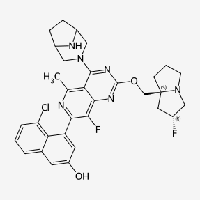 Cc1nc(-c2cc(O)cc3cccc(Cl)c23)c(F)c2nc(OC[C@@]34CCCN3C[C@H](F)C4)nc(N3CC4CCC(C3)N4)c12